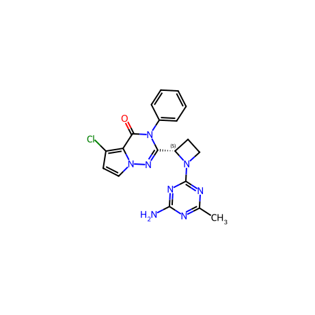 Cc1nc(N)nc(N2CC[C@H]2c2nn3ccc(Cl)c3c(=O)n2-c2ccccc2)n1